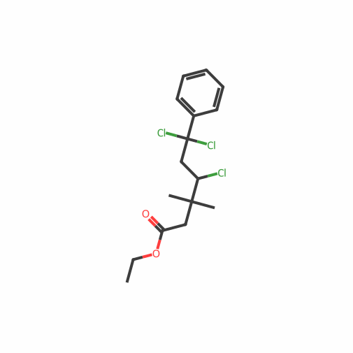 CCOC(=O)CC(C)(C)C(Cl)CC(Cl)(Cl)c1ccccc1